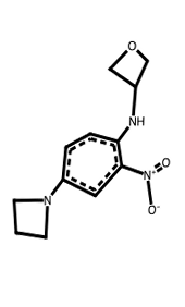 O=[N+]([O-])c1cc(N2CCC2)ccc1NC1COC1